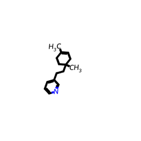 CC1=CCC(C)(CCc2cccnc2)CC1